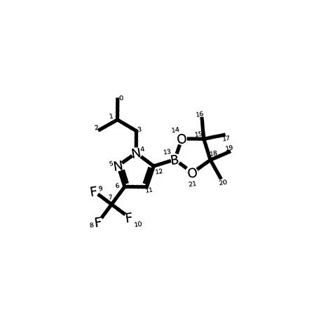 CC(C)Cn1nc(C(F)(F)F)cc1B1OC(C)(C)C(C)(C)O1